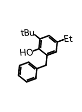 CCc1cc(Cc2ccccc2)c(O)c(C(C)(C)C)c1